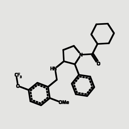 COc1ccc(OC(F)(F)F)cc1CNC1CCN(C(=O)C2CCCCC2)C1c1ccccc1